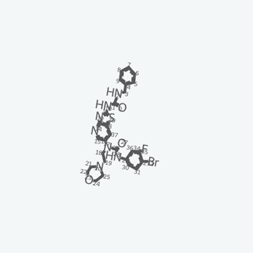 O=C(NCc1ccccc1)Nc1nc2ncc(N(CCN3CCOCC3)C(=O)Nc3ccc(Br)c(F)c3)cc2s1